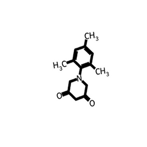 Cc1cc(C)c(N2CC(=O)CC(=O)C2)c(C)c1